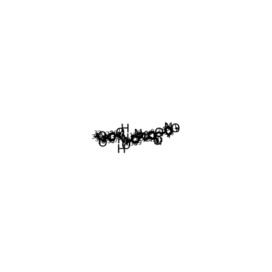 COc1ccc(COc2ccc(Cn3cnc4cc(C(=O)NNC(=O)C5CCN(C(=O)OC(C)(C)C)CC5)ccc43)cc2OC)cn1